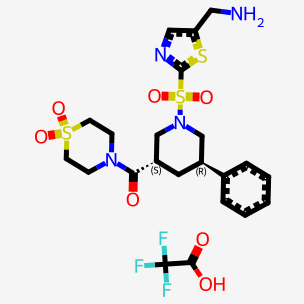 NCc1cnc(S(=O)(=O)N2C[C@@H](C(=O)N3CCS(=O)(=O)CC3)C[C@H](c3ccccc3)C2)s1.O=C(O)C(F)(F)F